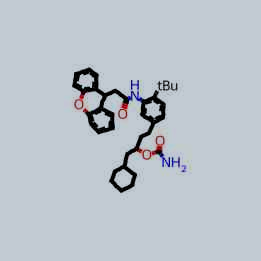 CC(C)(C)c1ccc(CCC(CC2CCCCC2)OC(N)=O)cc1NC(=O)CC1c2ccccc2Oc2ccccc21